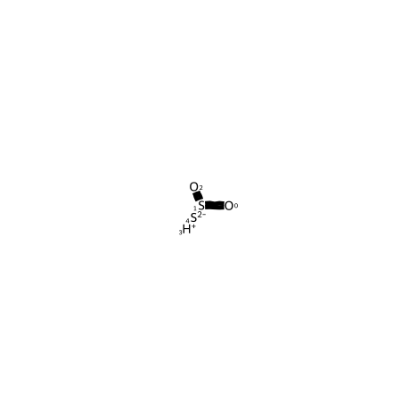 O=S=O.[H+].[S-2]